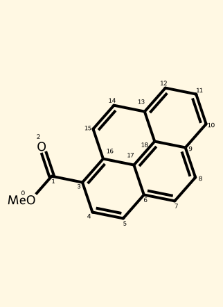 COC(=O)c1ccc2ccc3cccc4ccc1c2c34